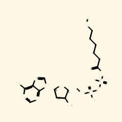 CNCCCCCC(=O)OP(=O)(O)OP(=O)(O)OC[C@H]1O[C@@H](n2cnc3c(N)ncnc32)[C@@H](O)C1O